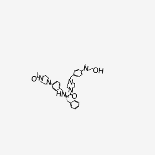 CC(=O)N1CCN(c2ccc(CN[C@@H](Cc3ccccc3)C(=O)N3CCN(Cc4ccc(N(C)CCO)cc4)CC3)cc2)CC1